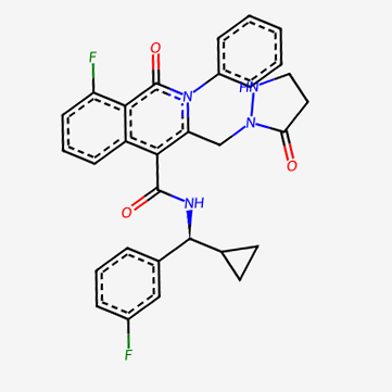 O=C(N[C@H](c1cccc(F)c1)C1CC1)c1c(CN2NCCC2=O)n(-c2ccccc2)c(=O)c2c(F)cccc12